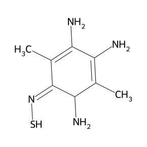 CC1=C(N)C(N)=C(C)C(N)/C1=N\S